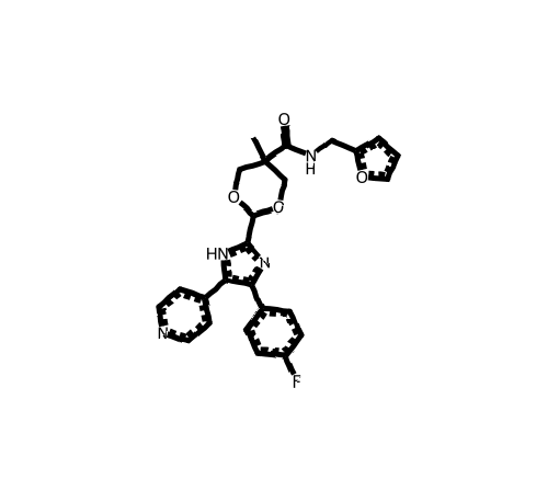 CC1(C(=O)NCc2ccco2)COC(c2nc(-c3ccc(F)cc3)c(-c3ccncc3)[nH]2)OC1